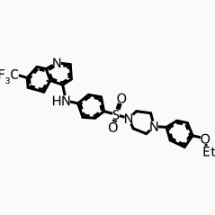 CCOc1ccc(N2CCN(S(=O)(=O)c3ccc(Nc4ccnc5cc(C(F)(F)F)ccc45)cc3)CC2)cc1